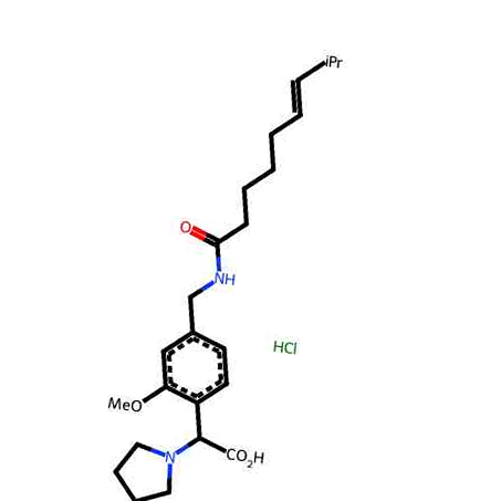 COc1cc(CNC(=O)CCCC/C=C/C(C)C)ccc1C(C(=O)O)N1CCCC1.Cl